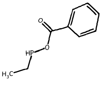 CCPOC(=O)c1ccccc1